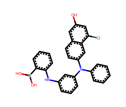 OB(O)c1ccccc1Nc1cccc(N(c2ccccc2)c2ccc3cc(O)cc(Cl)c3c2)c1